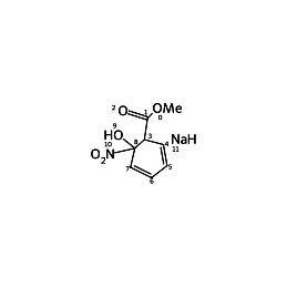 COC(=O)C1C=CC=CC1(O)[N+](=O)[O-].[NaH]